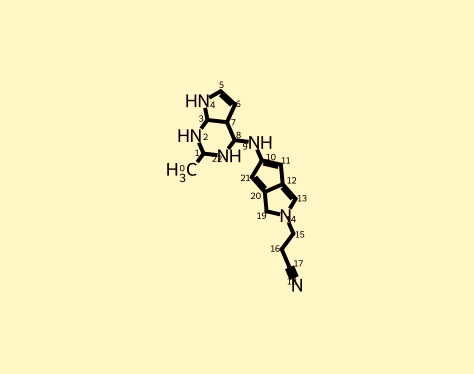 CC1NC2NC=CC2C(NC2=CC3=CN(CCC#N)CC3=C2)N1